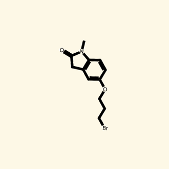 CN1C(=O)Cc2cc(OCCCBr)ccc21